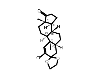 C[C@]12C=C(Cl)C3(C[C@@H]1CC[C@@H]1[C@@H]2CC[C@]2(C)C(=O)CC[C@@H]12)OCCO3